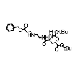 CC(C)(C)OC(=O)CC[C@H](NC(=O)OC(C)(C)C)C(=O)NCCNCCC(=O)OCc1ccccc1